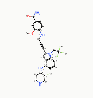 COc1cc(C(N)=O)ccc1NCC#Cc1cc2c(N[C@H]3CCNC[C@H]3F)cccc2n1CC(F)(F)F